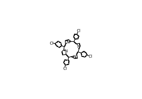 Clc1ccc(C2=C3C=CC(=N3)C(c3ccc(Cl)cc3)=C3C=CC(=N3)C(c3ccc(Cl)cc3)=C3C=CC(=N3)C(c3ccc(Cl)cc3)=C3C=CC2=N3)cc1